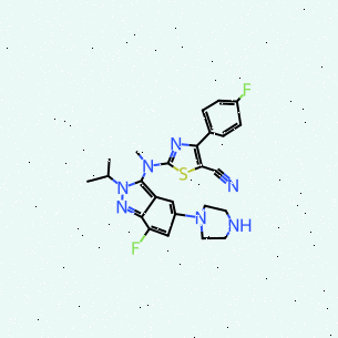 CC(C)n1nc2c(F)cc(N3CCNCC3)cc2c1N(C)c1nc(-c2ccc(F)cc2)c(C#N)s1